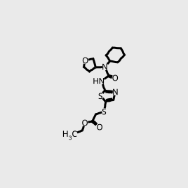 CCOC(=O)CSc1cnc(NC(=O)N(C2CCCCC2)C2CCOC2)s1